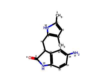 Cc1cc(C)c(CC2C(=O)Nc3ccc(N)cc32)[nH]1